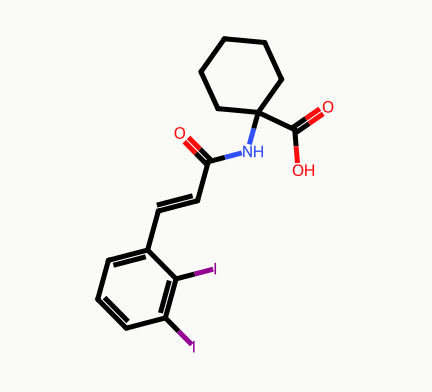 O=C(C=Cc1cccc(I)c1I)NC1(C(=O)O)CCCCC1